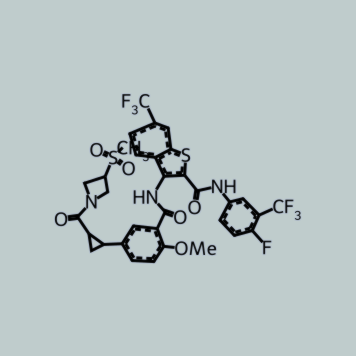 COc1ccc(C2CC2C(=O)N2CC(S(C)(=O)=O)C2)cc1C(=O)Nc1c(C(=O)Nc2ccc(F)c(C(F)(F)F)c2)sc2cc(C(F)(F)F)ccc12